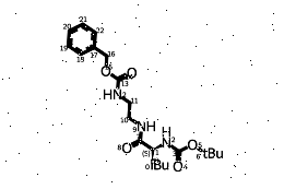 CC[C@H](C)[C@H](NC(=O)OC(C)(C)C)C(=O)NCCNC(=O)OCc1ccccc1